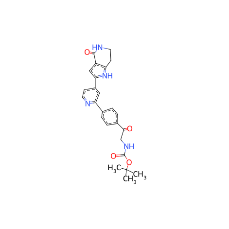 CC(C)(C)OC(=O)NCC(=O)c1ccc(-c2cc(-c3cc4c([nH]3)CCNC4=O)ccn2)cc1